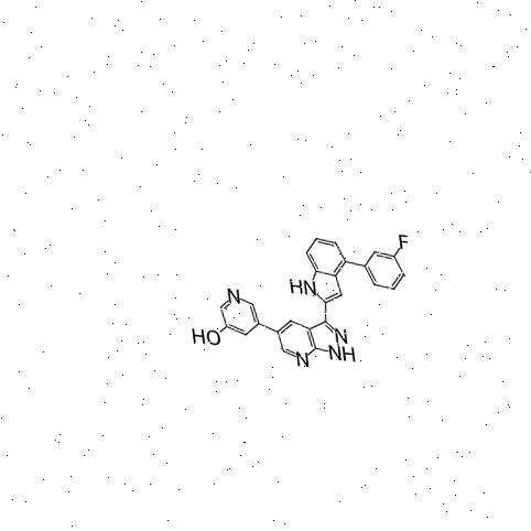 Oc1cncc(-c2cnc3[nH]nc(-c4cc5c(-c6cccc(F)c6)cccc5[nH]4)c3c2)c1